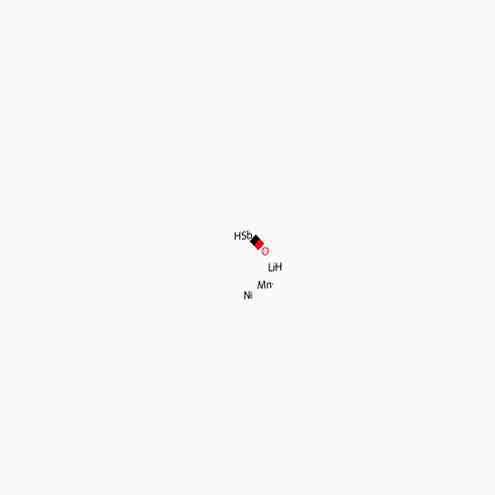 [LiH].[Mn].[Ni].[O]=[SbH]